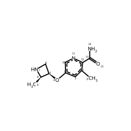 Cc1cc(O[C@@H]2CN[C@@H]2C)cnc1C(N)=O